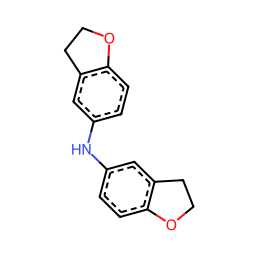 c1cc2c(cc1Nc1ccc3c(c1)CCO3)CCO2